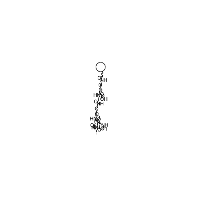 O=C(O)CC[C@@H](NC(=O)COCCOCCNC(=O)CCC(NC(=O)COCCOCCNC(=O)CSCC1CCCCCCCCCCCCCC1)C(=O)O)C(=O)N(CCNC(=O)CI)CCNC(=O)CI